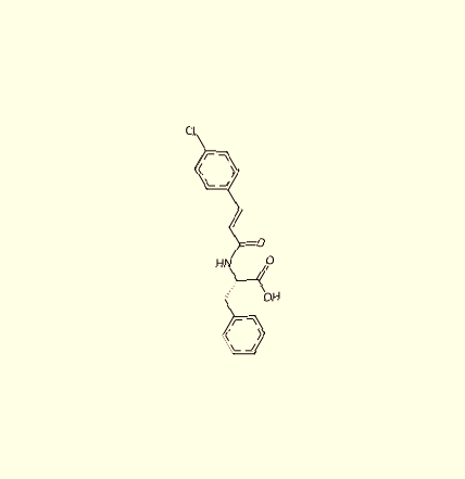 O=C(/C=C/c1ccc(Cl)cc1)N[C@@H](Cc1ccccc1)C(=O)O